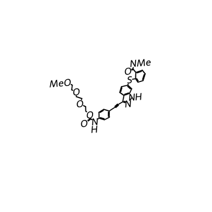 CNC(=O)c1ccccc1Sc1ccc2c(C#Cc3ccc(NC(=O)OCCOCCOCCOC)cc3)n[nH]c2c1